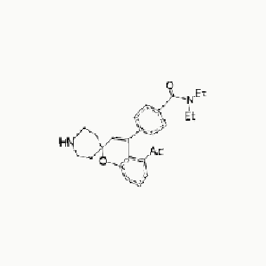 CCN(CC)C(=O)c1ccc(C2=CC3(CCNCC3)Oc3cccc(C(C)=O)c32)cc1